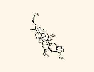 C=C=CCC(=O)[C@@]1(O)CC[C@H]2[C@@H]3C[C@H](C)C4=Cc5c(cnn5C)C[C@]4(C)[C@H]3[C@@H](O)C[C@@]21C